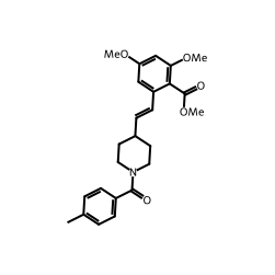 COC(=O)c1c(C=CC2CCN(C(=O)c3ccc(C)cc3)CC2)cc(OC)cc1OC